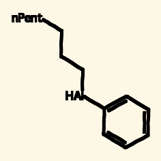 CCCCCCC[CH2][AlH][c]1ccccc1